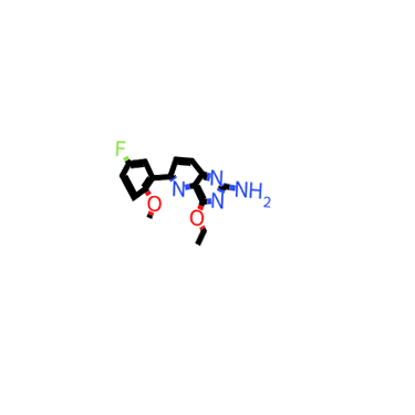 CCOc1nc(N)nc2ccc(-c3cc(F)ccc3OC)nc12